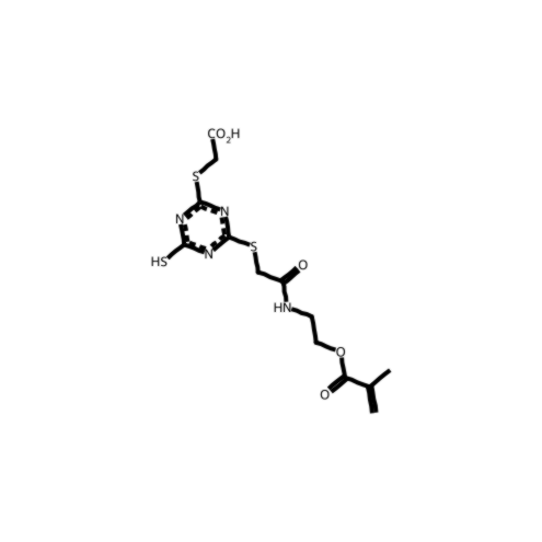 C=C(C)C(=O)OCCNC(=O)CSc1nc(S)nc(SCC(=O)O)n1